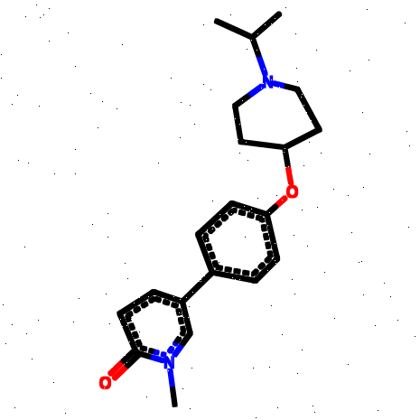 CC(C)N1CCC(Oc2ccc(-c3ccc(=O)n(C)c3)cc2)CC1